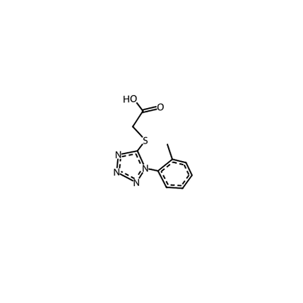 Cc1ccccc1-n1nnnc1SCC(=O)O